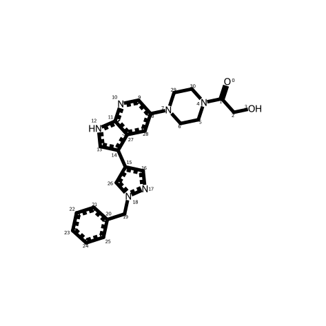 O=C(CO)N1CCN(c2cnc3[nH]cc(-c4cnn(Cc5ccccc5)c4)c3c2)CC1